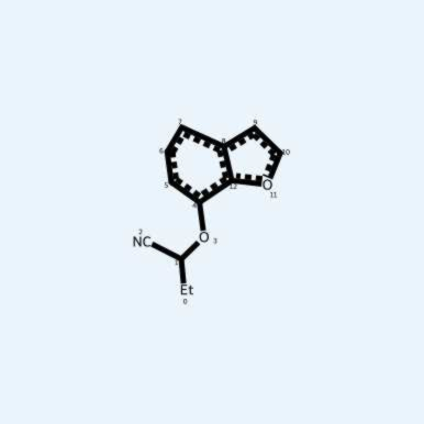 CCC(C#N)Oc1cccc2ccoc12